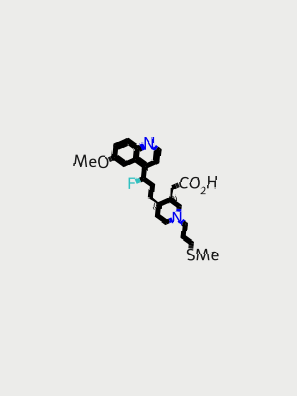 COc1ccc2nccc(C(F)CC[C@@H]3CCN(CCCSC)C[C@@H]3CC(=O)O)c2c1